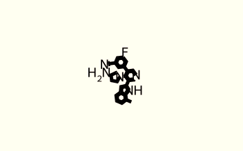 Cc1cccc2cc(-c3cncc(-c4cc(F)cc(C#N)c4)c3N3CC[C@H](N)C3)[nH]c12